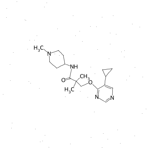 CN1CCC(NC(=O)C(C)(C)COc2ncncc2C2CC2)CC1